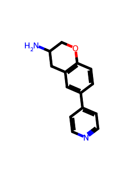 NC1COc2ccc(-c3ccncc3)cc2C1